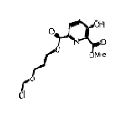 COC(=O)c1nc(C(=O)OCCCOCCl)ccc1O